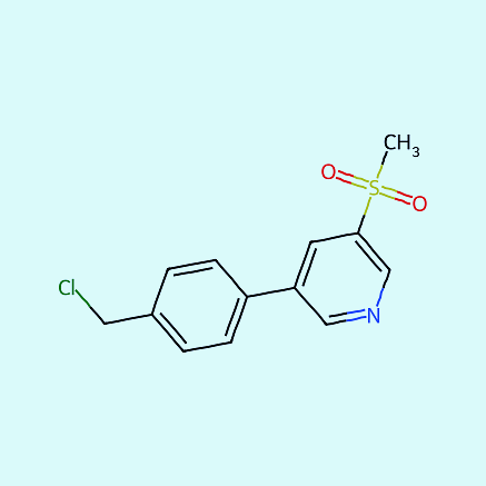 CS(=O)(=O)c1cncc(-c2ccc(CCl)cc2)c1